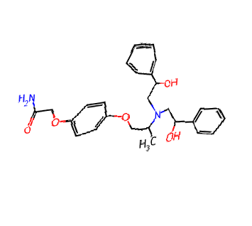 CC(COc1ccc(OCC(N)=O)cc1)N(CC(O)c1ccccc1)CC(O)c1ccccc1